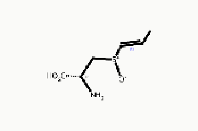 C/C=C/[S+]([O-])C[C@H](N)C(=O)O